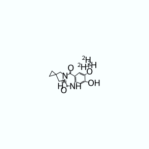 [2H]C([2H])([2H])Oc1cc2c(cc1O)NC(=O)[C@@H]1CC3(CC3)CN1C2=O